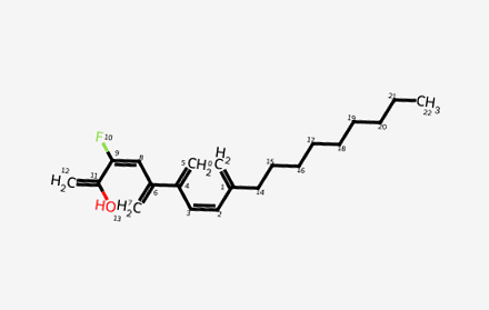 C=C(/C=C\C(=C)C(=C)/C=C(/F)C(=C)O)CCCCCCCCC